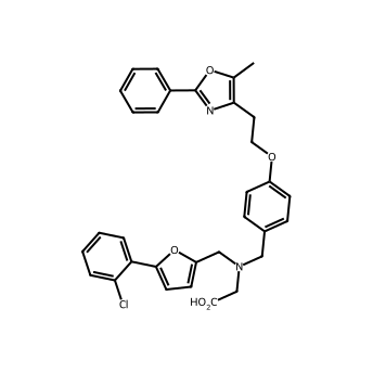 Cc1oc(-c2ccccc2)nc1CCOc1ccc(CN(CC(=O)O)Cc2ccc(-c3ccccc3Cl)o2)cc1